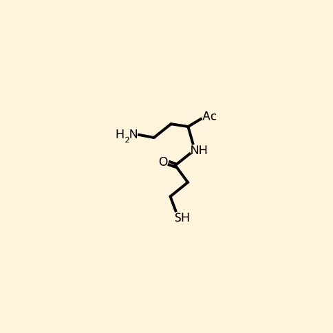 CC(=O)C(CCN)NC(=O)CCS